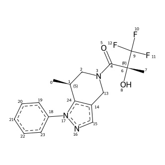 C[C@H]1CN(C(=O)[C@@](C)(O)C(F)(F)F)Cc2cnn(-c3ccccc3)c21